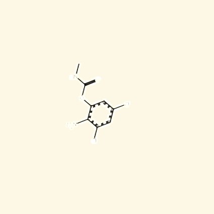 CNC(=O)Oc1cc(Cl)cc(Cl)c1N